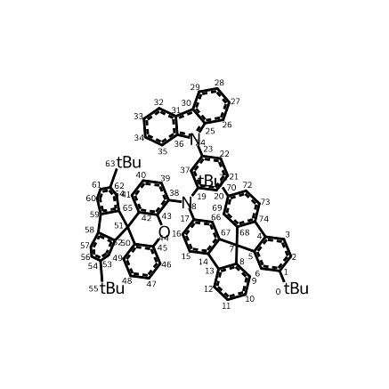 CC(C)(C)c1ccc2c(c1)C1(c3ccccc3-c3ccc(N(c4cccc(-n5c6ccccc6c6ccccc65)c4)c4cccc5c4Oc4ccccc4C54c5cc(C(C)(C)C)ccc5-c5ccc(C(C)(C)C)cc54)cc31)c1cc(C(C)(C)C)ccc1-2